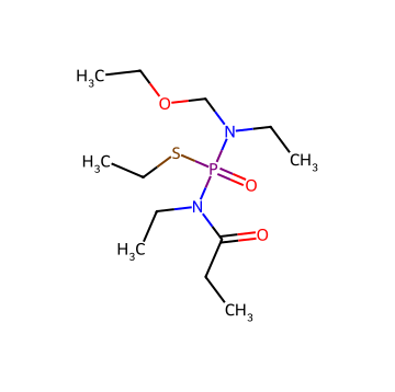 CCOCN(CC)P(=O)(SCC)N(CC)C(=O)CC